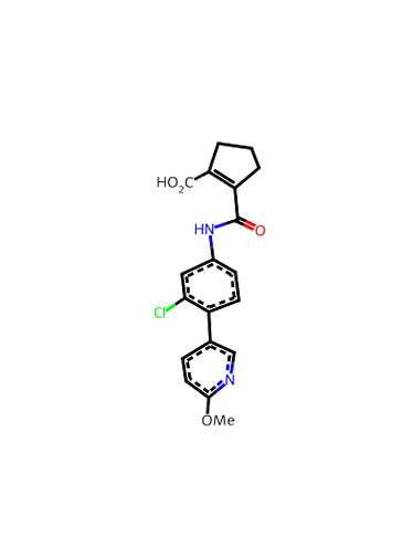 COc1ccc(-c2ccc(NC(=O)C3=C(C(=O)O)CCC3)cc2Cl)cn1